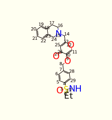 CCS(=N)(=O)c1ccc(COc2coc(CN3CCc4ccccc4C3)cc2=O)cc1